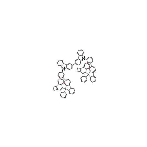 c1ccc(C2(c3cc4c(c5ccccc35)CC4)c3ccccc3-c3ccc(-c4cccc(-n5c6ccccc6c6cc(-c7ccc8c(c7)c7ccccc7n8-c7cccc(-c8ccc9c(c8)C(c8ccccc8)(c8cc%10c(c%11ccccc8%11)CC%10)c8ccccc8-9)c7)ccc65)c4)cc32)cc1